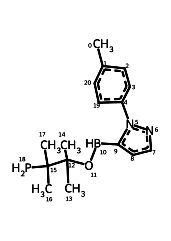 Cc1ccc(-n2nccc2BOC(C)(C)C(C)(C)P)cc1